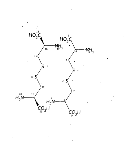 NC(CSSCC(N)C(=O)O)C(=O)O.N[C@@H](CSSC[C@H](N)C(=O)O)C(=O)O